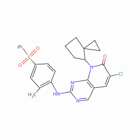 Cc1cc(S(=O)(=O)C(C)C)ccc1Nc1ncc2cc(Cl)c(=O)n(C3CCCC34CC4)c2n1